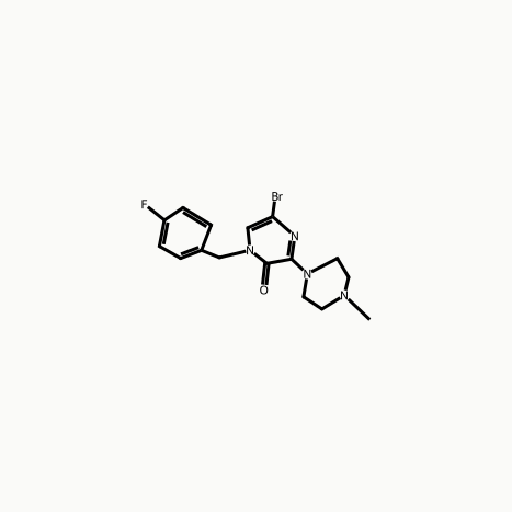 CN1CCN(c2nc(Br)cn(Cc3ccc(F)cc3)c2=O)CC1